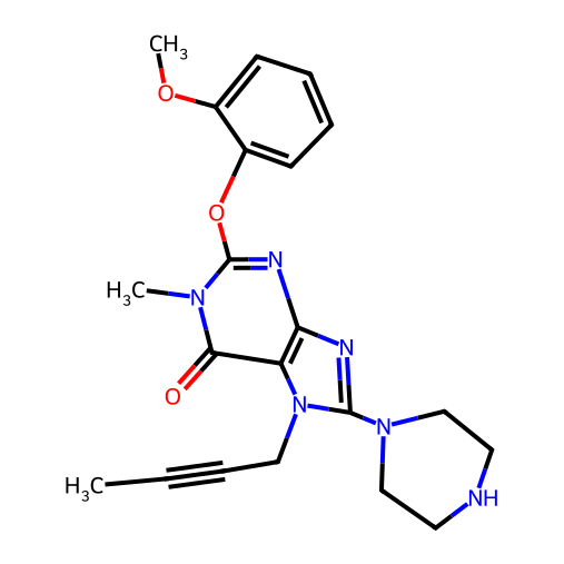 CC#CCn1c(N2CCNCC2)nc2nc(Oc3ccccc3OC)n(C)c(=O)c21